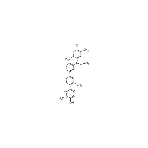 CCN(c1cccc(-c2ccc(C(=O)N[C@@H](C)C(=O)O)c(C)c2)c1)c1cc(C)c(Cl)cc1C